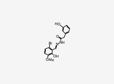 COc1ccc(Br)c(/C=N/NC(=O)Cc2cccc(O)c2)c1O